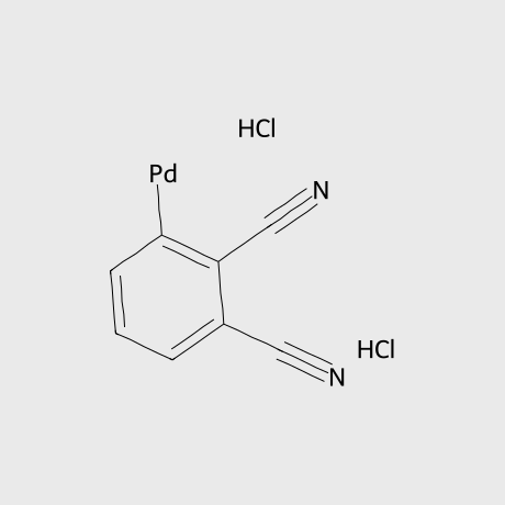 Cl.Cl.N#Cc1ccc[c]([Pd])c1C#N